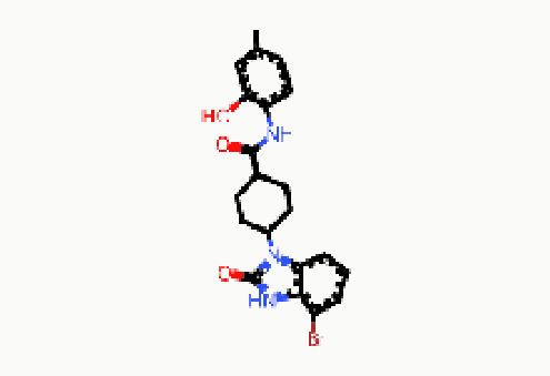 Cc1ccc(NC(=O)C2CCC(n3c(=O)[nH]c4c(Br)cccc43)CC2)c(O)c1